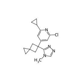 Cn1cnnc1C1(c2cc(Cl)nc(C3CC3)c2)CC2(CC2)C1